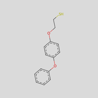 SCCOc1ccc(Oc2ccccc2)cc1